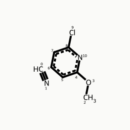 C#N.COc1cccc(Cl)n1